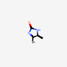 C=C1NC(=O)N=C1C(C)C